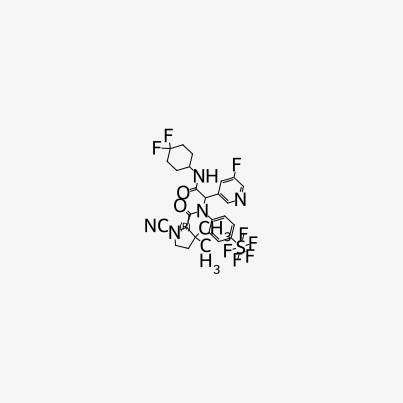 CC1(C)CCN(C#N)[C@H]1C(=O)N(c1ccc(S(F)(F)(F)(F)F)cc1)C(C(=O)NC1CCC(F)(F)CC1)c1cncc(F)c1